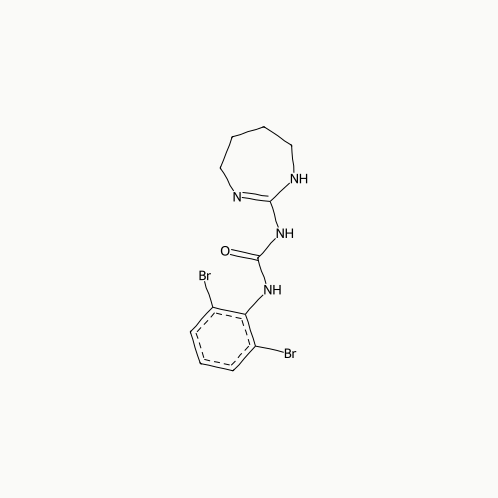 O=C(NC1=NCCCCN1)Nc1c(Br)cccc1Br